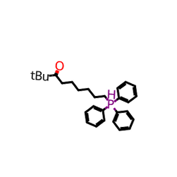 CC(C)(C)C(=O)CCCCCC[PH](c1ccccc1)(c1ccccc1)c1ccccc1